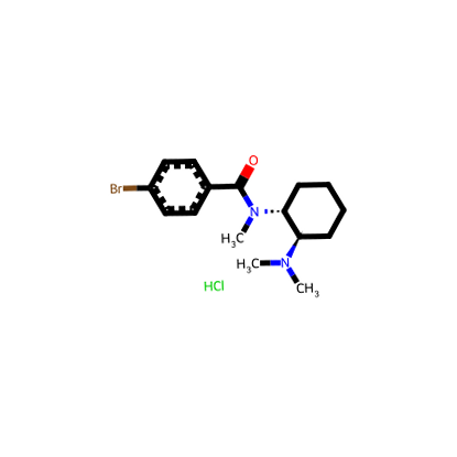 CN(C)[C@@H]1CCCC[C@H]1N(C)C(=O)c1ccc(Br)cc1.Cl